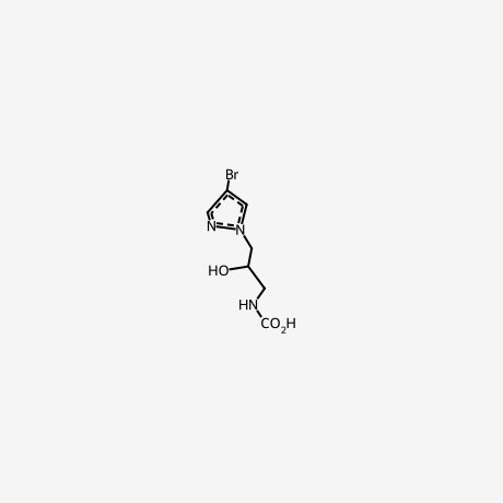 O=C(O)NCC(O)Cn1cc(Br)cn1